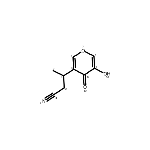 CC(CC#N)c1cocc(O)c1=O